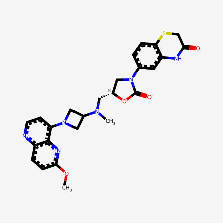 COc1ccc2nccc(N3CC(N(C)C[C@@H]4CN(c5ccc6c(c5)NC(=O)CS6)C(=O)O4)C3)c2n1